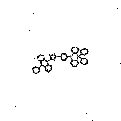 c1ccc(-c2c3ccccc3c(-c3nsc(-c4ccc(N5c6ccccc6C(c6ccccc6)(c6ccccc6)c6ccccc65)cc4)n3)c3ccccc23)cc1